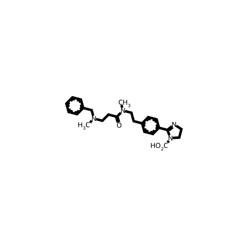 CN(CCC(=O)N(C)CCc1ccc(C2=NCCN2C(=O)O)cc1)Cc1ccccc1